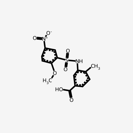 COc1ccc([N+](=O)[O-])cc1S(=O)(=O)Nc1cc(C(=O)O)ccc1C